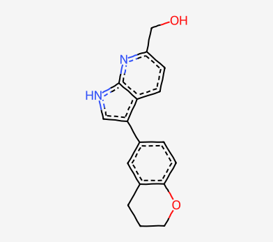 OCc1ccc2c(-c3ccc4c(c3)CCCO4)c[nH]c2n1